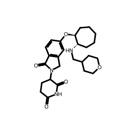 O=C1CCC(N2Cc3cc(O[C@H]4CCCCC[C@@H]4NCC4CCOCC4)ccc3C2=O)C(=O)N1